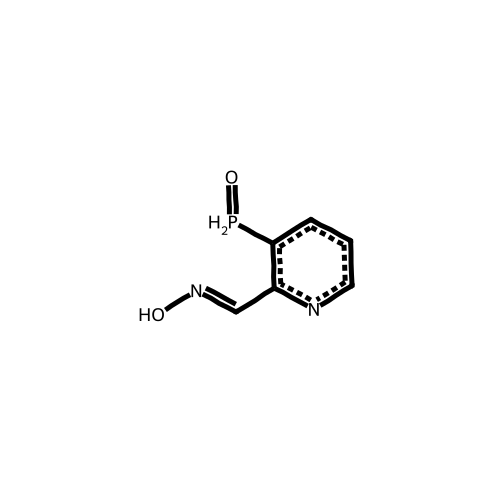 O=[PH2]c1cccnc1C=NO